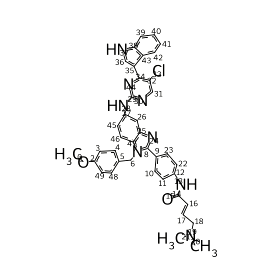 COc1ccc(Cn2c(-c3ccc(NC(=O)/C=C/CN(C)C)cc3)nc3cc(Nc4ncc(Cl)c(-c5c[nH]c6ccccc56)n4)ccc32)cc1